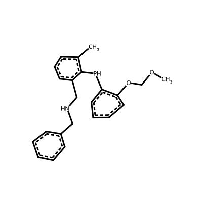 COCOc1ccccc1Pc1c(C)cccc1CNCc1ccccc1